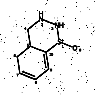 [O-][S+]1NNCC2CC=CC=C21